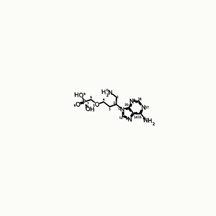 NCC(CCOCP(=O)(O)O)n1cnc2c(N)ncnc21